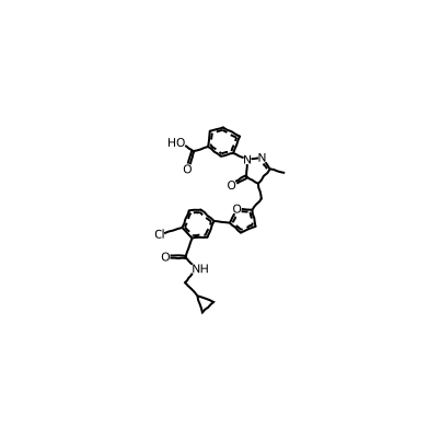 CC1=NN(c2cccc(C(=O)O)c2)C(=O)C1Cc1ccc(-c2ccc(Cl)c(C(=O)NCC3CC3)c2)o1